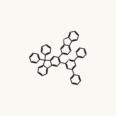 c1ccc(-c2cc(-c3ccccc3)nc(-c3cc4c(cc3-c3ccc5c(c3)sc3ccccc35)C(c3ccccc3)(c3ccccc3)c3ccccc3-4)c2)cc1